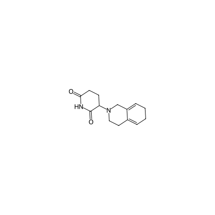 O=C1CCC(N2CCC3=CCCC=C3C2)C(=O)N1